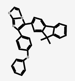 CC1(C)c2ccccc2-c2ccc(-c3c(-c4ccc(Oc5ccccc5)cc4)nc4occn34)cc21